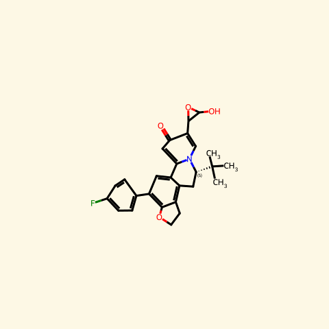 CC(C)(C)[C@@H]1Cc2c(cc(-c3ccc(F)cc3)c3c2CCO3)-c2cc(=O)c(C3OC3O)cn21